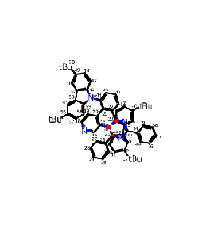 CC(C)(C)c1ccc2c(c1)c1cc(C(C)(C)C)ccc1n2-c1cnccc1-c1c(-c2nc(-c3ccccc3)nc(-c3ccccc3)n2)cccc1-n1c2ccc(C(C)(C)C)cc2c2cc(C(C)(C)C)ccc21